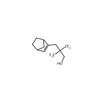 OCC(CC1=CC2CCC1C2)(C(F)(F)F)C(F)(F)F